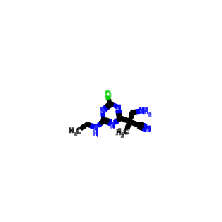 CCNc1nc(Cl)nc(C(C)(C#N)CN)n1